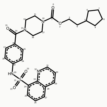 O=C(OCCC1CCCC1)N1CCN(C(=O)c2ccc(NS(=O)(=O)c3cccc4cccnc34)cc2)CC1